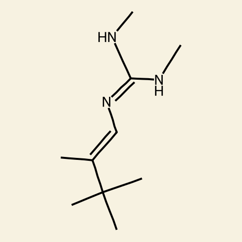 CNC(=N/C=C(\C)C(C)(C)C)NC